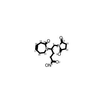 O=NC(=O)CCC(CN1C(=O)CCC1=O)N1CCC#CCC1=O